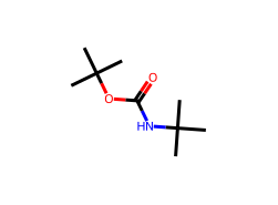 CC(C)(C)NC(=O)OC(C)(C)C